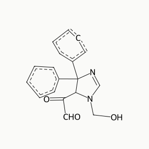 O=CC(=O)C1N(CO)C=NC1(c1ccccc1)c1ccccc1